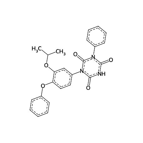 CC(C)Oc1cc(-n2c(=O)[nH]c(=O)n(-c3ccccc3)c2=O)ccc1Oc1ccccc1